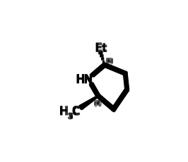 CC[C@@H]1CCC[C@@H](C)N1